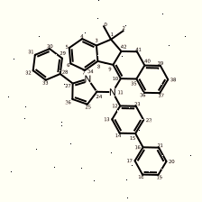 CC1(C)c2ccccc2C2=C(N(c3ccc(-c4ccccc4)cc3)C3C=CC(c4ccccc4)=N3)c3ccccc3CC21